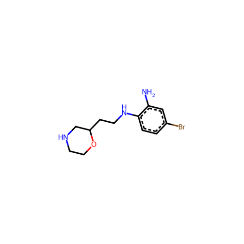 Nc1cc(Br)ccc1NCCC1CNCCO1